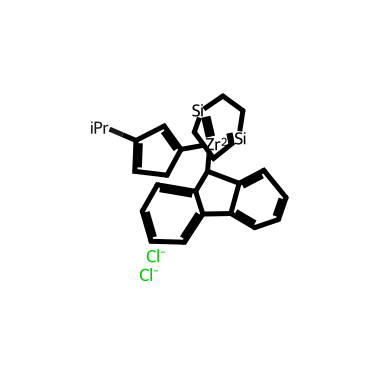 CC(C)C1=CC[C]([Zr+2]2([CH]3c4ccccc4-c4ccccc43)=[Si]3CC[Si]=2CC3)=C1.[Cl-].[Cl-]